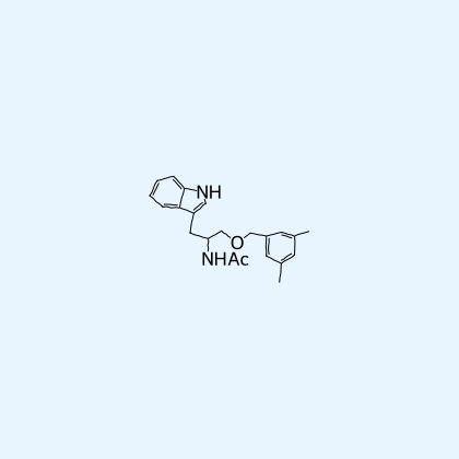 CC(=O)NC(COCc1cc(C)cc(C)c1)Cc1c[nH]c2ccccc12